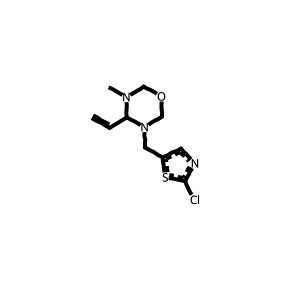 C=CC1N(C)COCN1Cc1cnc(Cl)s1